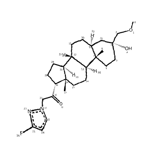 COC[C@@]1(O)CC[C@@]2(C)[C@@H](CC[C@@H]3[C@@H]2CC[C@]2(C)[C@H](C(=O)Cn4ccc(F)n4)CC[C@@H]32)C1